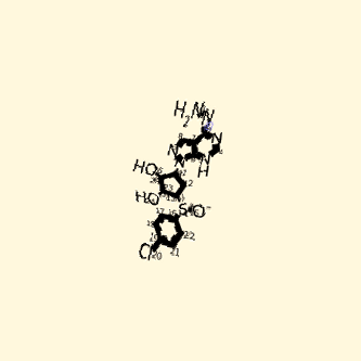 N/N=c1/nc[nH]c2c1cnn2[C@@H]1C[C@H]([S+]([O-])c2ccc(Cl)cc2)[C@@H](O)[C@H]1O